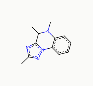 Cc1nc2n(n1)-c1ccccc1N(C)C2C